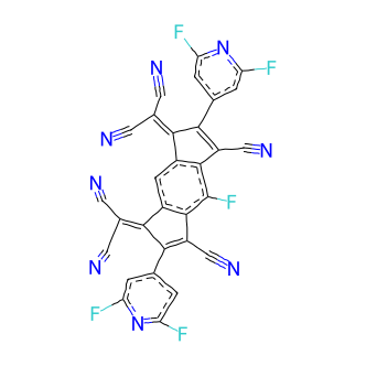 N#CC(C#N)=C1C(c2cc(F)nc(F)c2)=C(C#N)c2c1cc1c(c2F)C(C#N)=C(c2cc(F)nc(F)c2)C1=C(C#N)C#N